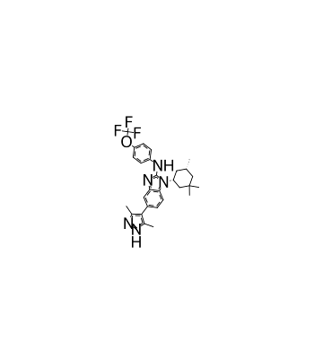 Cc1n[nH]c(C)c1-c1ccc2c(c1)nc(Nc1ccc(OC(F)(F)F)cc1)n2[C@@H]1C[C@H](C)CC(C)(C)C1